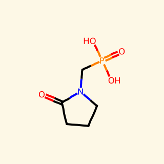 O=C1CCCN1CP(=O)(O)O